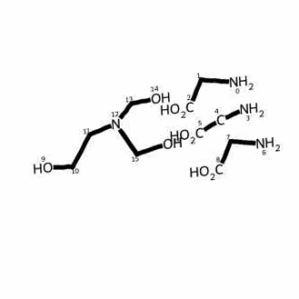 NCC(=O)O.NCC(=O)O.NCC(=O)O.OCCN(CO)CO